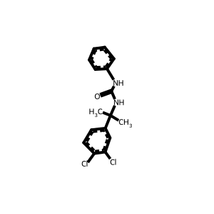 CC(C)(NC(=O)Nc1ccccc1)c1ccc(Cl)c(Cl)c1